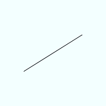 CCCCCCCCCCCCCCCCCCCCCCCCCCCCCCCCCCCCCCCCCCCCCCCCCCCCCCCCCCCCCCCCCCCCCCCCCCCCCCCCCCCCCCCCCCCCCCCCC